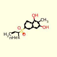 C=CC(CCCCCC)S(=O)(=O)c1ccc2c(O)c(C)c(O)cc2c1